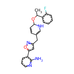 CC(OC1C=CC(Cc2cc(-c3cccnc3N)on2)=CN1)c1ccccc1F